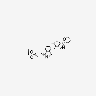 Cc1ccc2c(cnn2C2CCCCO2)c1Cc1cccc2c(N3CCN(C(=O)OC(C)(C)C)CC3)ncnc12